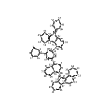 c1ccc(-c2nc(-c3ccc(-n4c5ccccc5c5ccc6ccccc6c54)c4ccccc34)nc(-c3cccc4c3c3ccccc3n4-c3ccccc3)n2)cc1